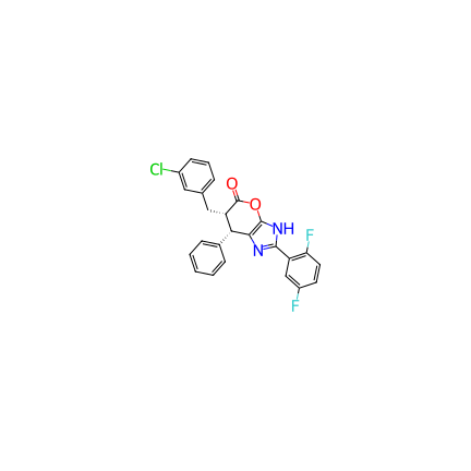 O=C1Oc2[nH]c(-c3cc(F)ccc3F)nc2[C@H](c2ccccc2)[C@@H]1Cc1cccc(Cl)c1